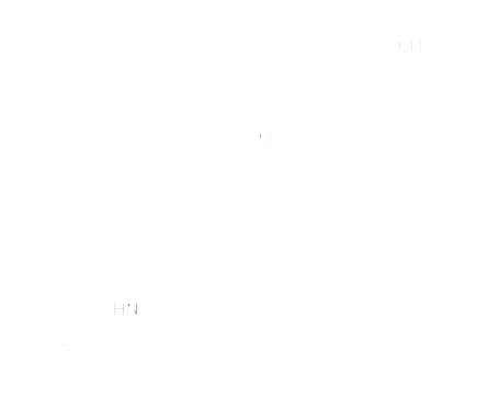 CCCCOc1ccc(CN[C]=O)cc1